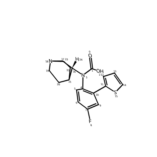 O=C(O)N(c1ccc(F)cc1-c1cccs1)[C@H]1CN2CCC1CC2